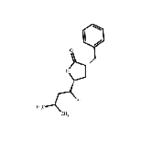 CC(C)CC(Br)[C@@H]1C[C@@H](Cc2ccccc2)C(=O)O1